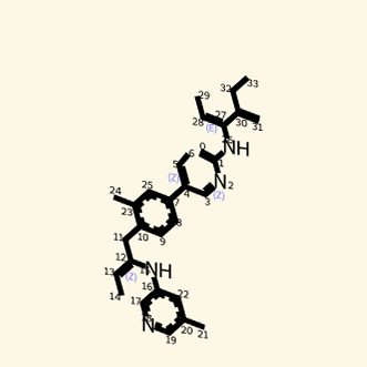 C=C(/N=C\C(=C/C)c1ccc(C/C(=C/C)Nc2cncc(C)c2)c(C)c1)N/C(=C/C)C(=C)CC